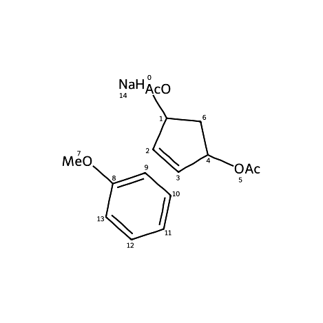 CC(=O)OC1C=CC(OC(C)=O)C1.COc1ccccc1.[NaH]